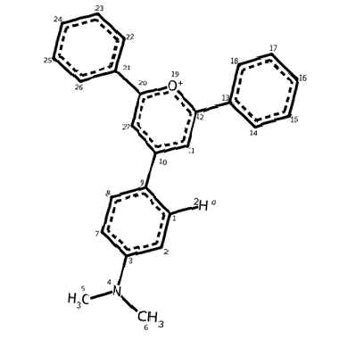 [2H]c1cc(N(C)C)ccc1-c1cc(-c2ccccc2)[o+]c(-c2ccccc2)c1